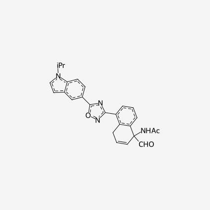 CC(=O)NC1(C=O)C=CCc2c(-c3noc(-c4ccc5c(ccn5C(C)C)c4)n3)cccc21